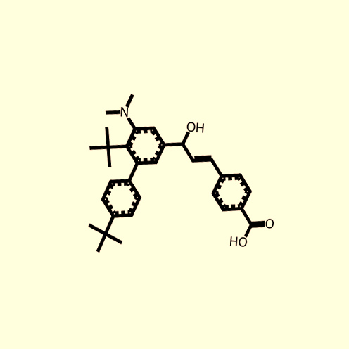 CN(C)c1cc(C(O)C=Cc2ccc(C(=O)O)cc2)cc(-c2ccc(C(C)(C)C)cc2)c1C(C)(C)C